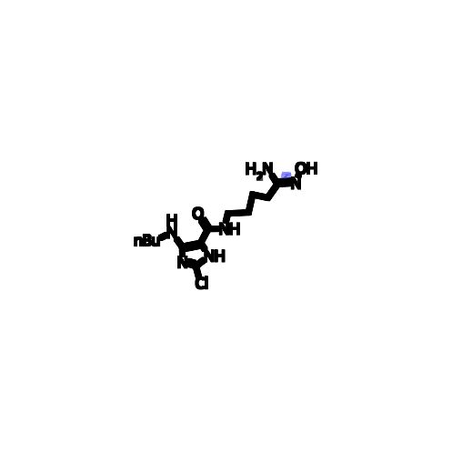 CCCCNc1nc(Cl)[nH]c1C(=O)NCCCC/C(N)=N/O